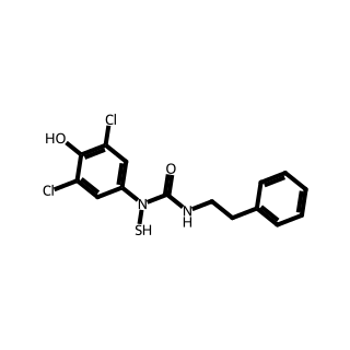 O=C(NCCc1ccccc1)N(S)c1cc(Cl)c(O)c(Cl)c1